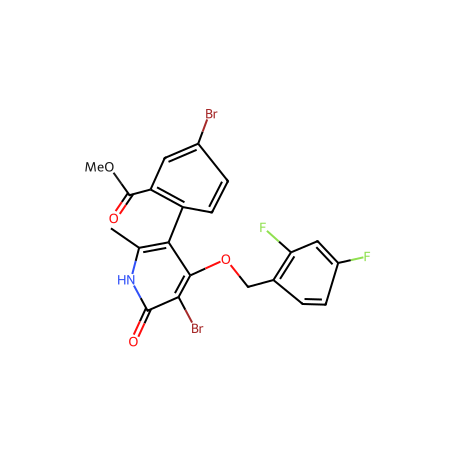 COC(=O)c1cc(Br)ccc1-c1c(C)[nH]c(=O)c(Br)c1OCc1ccc(F)cc1F